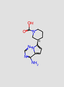 Nc1ncnn2c([C@@H]3CCCN(C(=O)O)C3)ccc12